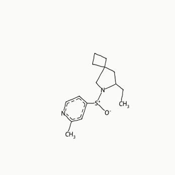 CCC1CC2(CCC2)CN1[S+]([O-])c1ccnc(C)c1